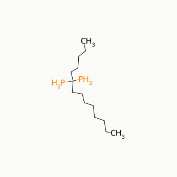 CCCCCCCCC(P)(P)CCCCC